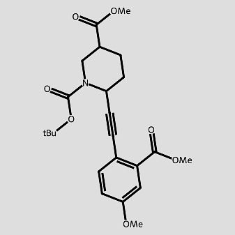 COC(=O)c1cc(OC)ccc1C#CC1CCC(C(=O)OC)CN1C(=O)OC(C)(C)C